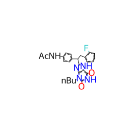 CCCCn1c(=O)[nH]c(=O)c2[nH]c(C(Cc3ccccc3F)c3ccc(NC(C)=O)cc3)nc21